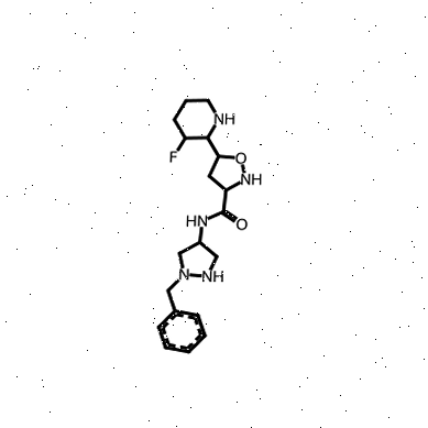 O=C(NC1CNN(Cc2ccccc2)C1)C1CC(C2NCCCC2F)ON1